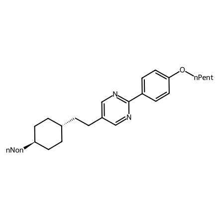 CCCCCCCCC[C@H]1CC[C@H](CCc2cnc(-c3ccc(OCCCCC)cc3)nc2)CC1